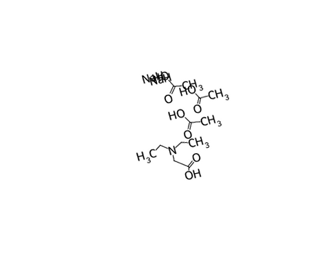 CC(=O)O.CC(=O)O.CC(=O)O.CCN(CC)CC(=O)O.[NaH].[NaH]